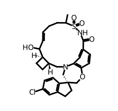 CC1CC/C=C/C(O)[C@@H]2CC[C@H]2CN2C[C@@]3(CCc4cc(Cl)ccc43)COc3ccc(cc32)C(=O)NS1(=O)=O